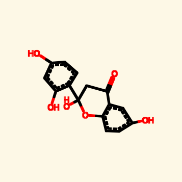 O=C1CC(O)(c2ccc(O)cc2O)Oc2ccc(O)cc21